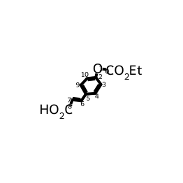 CCOC(=O)Oc1ccc(/C=C/C(=O)O)cc1